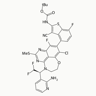 CSc1nc2c3c(c(Cl)c(-c4ccc(F)c5sc(NC(=O)OC(C)(C)C)c(C#N)c45)c(F)c3n1)OCCN2[C@@H](c1cccnc1N)C(F)F